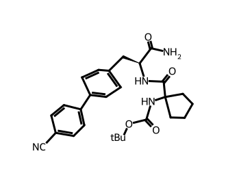 CC(C)(C)OC(=O)NC1(C(=O)N[C@@H](Cc2ccc(-c3ccc(C#N)cc3)cc2)C(N)=O)CCCC1